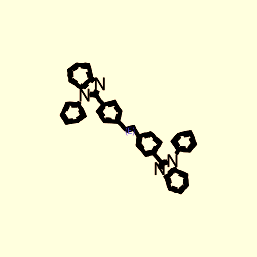 C(=C\c1ccc(-c2nc3ccccc3n2-c2ccccc2)cc1)/c1ccc(-c2nc3ccccc3n2-c2ccccc2)cc1